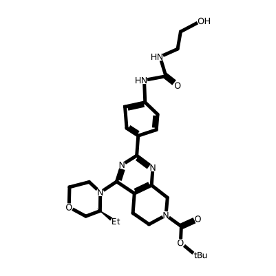 CC[C@H]1COCCN1c1nc(-c2ccc(NC(=O)NCCO)cc2)nc2c1CCN(C(=O)OC(C)(C)C)C2